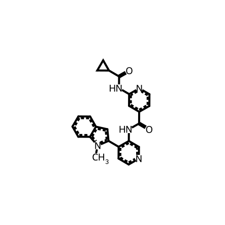 Cn1c(-c2ccncc2NC(=O)c2ccnc(NC(=O)C3CC3)c2)cc2ccccc21